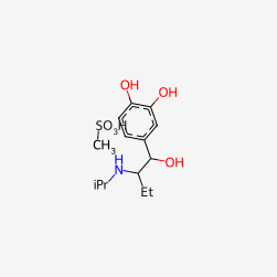 CCC(NC(C)C)C(O)c1ccc(O)c(O)c1.CS(=O)(=O)O